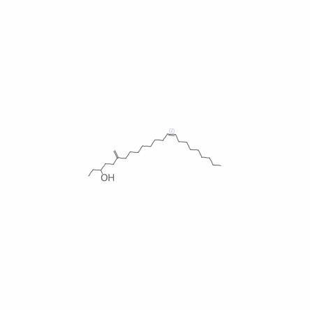 C=C(CCCCCCC/C=C\CCCCCCCC)CCC(O)CC